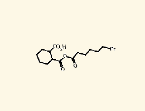 CC(C)CCCCCC(=O)OC(=O)C1CCCCC1C(=O)O